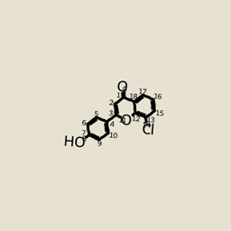 O=c1cc(-c2ccc(O)cc2)oc2c(Cl)cccc12